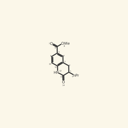 CCCC1Cc2cc(C(=O)OC)ccc2NC1=O